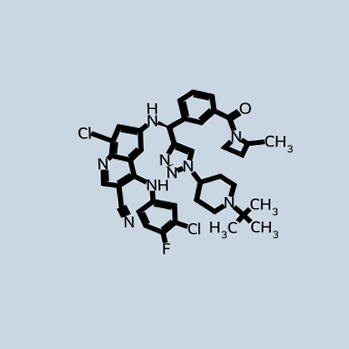 CC1CCN1C(=O)c1cccc([C@H](Nc2cc(Cl)c3ncc(C#N)c(Nc4ccc(F)c(Cl)c4)c3c2)c2cn(C3CCN(C(C)(C)C)CC3)nn2)c1